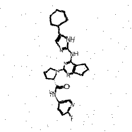 O=C(Nc1ccc(F)nc1)[C@@H]1CCCN1c1nc2c(c(Nc3ncc(C4CCCCC4)[nH]3)n1)CCC2